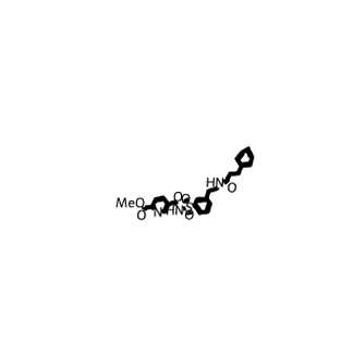 COC(=O)c1ccc(C(=O)NS(=O)(=O)c2cccc(CCNC(=O)CCc3ccccc3)c2)cn1